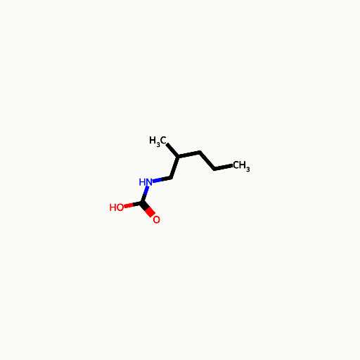 CCCC(C)CNC(=O)O